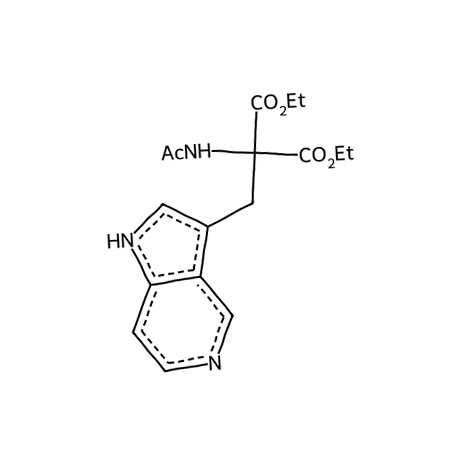 CCOC(=O)C(Cc1c[nH]c2ccncc12)(NC(C)=O)C(=O)OCC